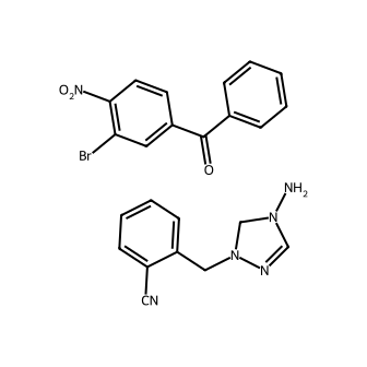 N#Cc1ccccc1CN1CN(N)C=N1.O=C(c1ccccc1)c1ccc([N+](=O)[O-])c(Br)c1